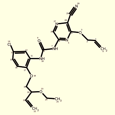 C=CCOc1nc(NC(=O)Nc2cc(Cl)ccc2OCC(C=C)OCC)cnc1C#N